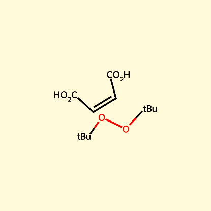 CC(C)(C)OOC(C)(C)C.O=C(O)/C=C\C(=O)O